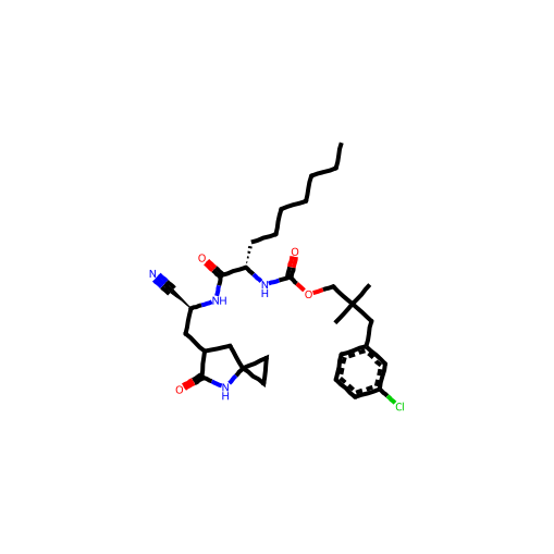 CCCCCCC[C@H](NC(=O)OCC(C)(C)Cc1cccc(Cl)c1)C(=O)N[C@H](C#N)CC1CC2(CC2)NC1=O